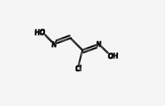 ON=C/C(Cl)=N/O